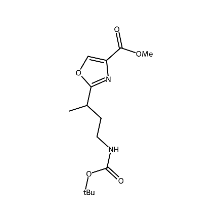 COC(=O)c1coc(C(C)CCNC(=O)OC(C)(C)C)n1